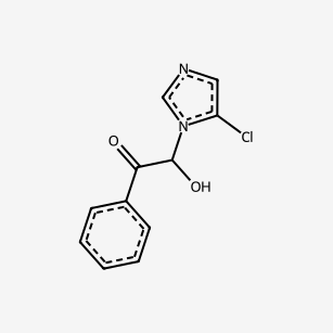 O=C(c1ccccc1)C(O)n1cncc1Cl